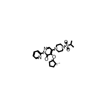 CC(C)S(=O)(=O)N1CCN(c2cnn(-c3ccccn3)c(=O)c2O[C@@H]2CCC[C@H]2C)CC1